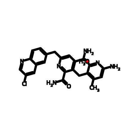 Cc1cc(N)nc(C)c1Cc1c(C(N)=O)cc(Cc2ccc3ncc(Cl)cc3c2)nc1C(N)=O